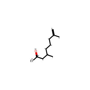 C=C(C)CCCC(C)CC(=O)CC